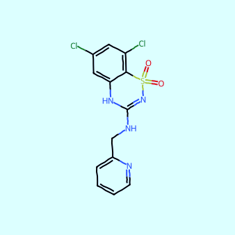 O=S1(=O)N=C(NCc2ccccn2)Nc2cc(Cl)cc(Cl)c21